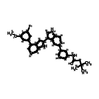 COc1cc(F)cc(-c2cncc3[nH]c(-c4n[nH]c5cnc(-c6cncc(NC(=O)CC(C)(C)C)c6)cc45)cc23)c1